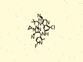 Cc1nc(F)ccc1[C@H](Nc1cc(Cl)c2ncc(C#N)c(NCC(C)(C)C)c2c1)c1nnn(C2CC2)c1C#N